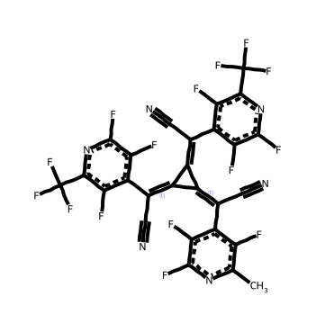 Cc1nc(F)c(F)c(/C(C#N)=C2/C(=C(C#N)c3c(F)c(F)nc(C(F)(F)F)c3F)/C2=C(/C#N)c2c(F)c(F)nc(C(F)(F)F)c2F)c1F